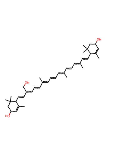 CC1=CC(O)CC(C)(C)C1/C=C/C(=C/C=C/C(C)=C/C=C/C=C(C)/C=C/C=C(C)/C=C/C1C(C)=CC(O)CC1(C)C)CO